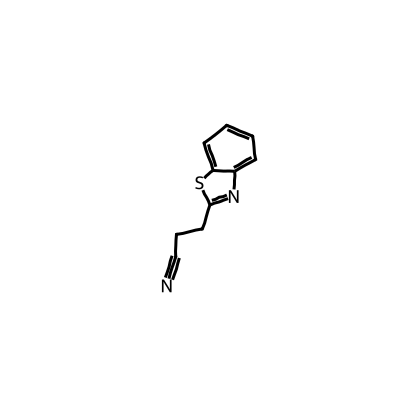 N#CCCc1nc2ccccc2s1